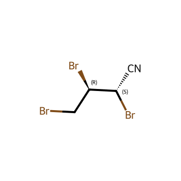 N#C[C@H](Br)[C@H](Br)CBr